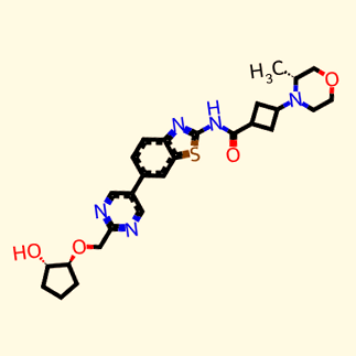 C[C@@H]1COCCN1C1CC(C(=O)Nc2nc3ccc(-c4cnc(CO[C@H]5CCC[C@@H]5O)nc4)cc3s2)C1